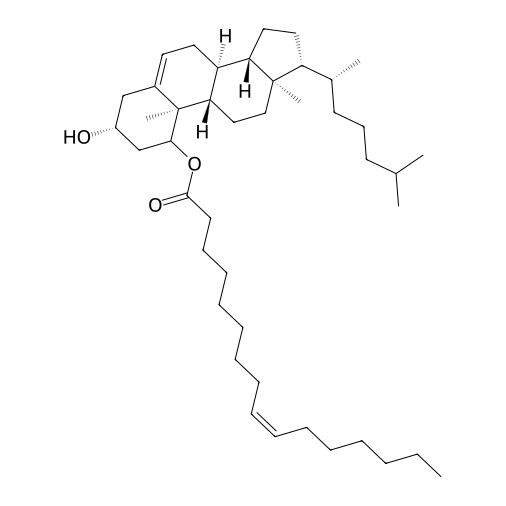 CCCCCC/C=C\CCCCCCCC(=O)OC1C[C@H](O)CC2=CC[C@H]3[C@@H]4CC[C@H]([C@H](C)CCCC(C)C)[C@@]4(C)CC[C@@H]3[C@]21C